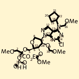 CCOC(=O)C(COC)(OC[C@H]1OC[C@@H](n2ncc3c(N(COC)C4CCCC4)nc(Cl)nc32)[C@@H](OCOC)[C@@H]1OCOC)O[PH](=O)O